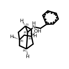 O[C@@]12C[C@H]3C[C@H](C1)[C@H](NCc1ccccc1)[C@@H](C3)C2